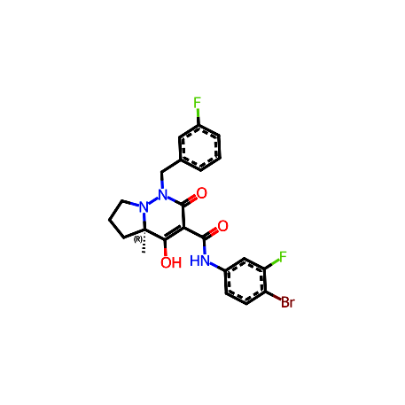 C[C@]12CCCN1N(Cc1cccc(F)c1)C(=O)C(C(=O)Nc1ccc(Br)c(F)c1)=C2O